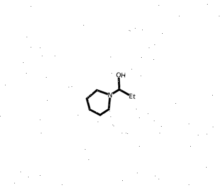 [CH2]CC(O)N1CCCCC1